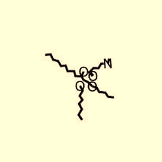 CCCCCCCCCC(OC(=O)CCCN(C)C)C(COCCCCC)OCCCCCCC